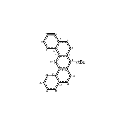 CC(C)(C)c1c2ccc3c#cccc3c2nc2c1ccc1ccccc12